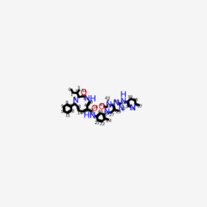 CCC(C)C1\N=C(c2ccccc2)/C=C/C=C(C(=O)Nc2ccc(C)c(N3Cc4cnc(NC5=CN=C(C)CC5)nc4N(C)C3=O)c2)\C=C\NC1=O